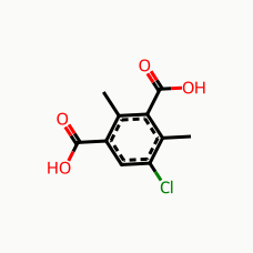 Cc1c(Cl)cc(C(=O)O)c(C)c1C(=O)O